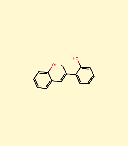 [CH2]C(=Cc1ccccc1O)c1ccccc1O